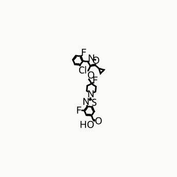 O=C(O)c1cc(F)c2nc(N3CCC(F)(COCc4c(-c5c(F)cccc5Cl)noc4C4CC4)CC3)sc2c1